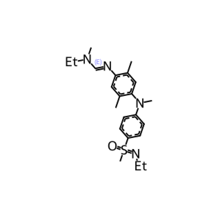 CCN=S(C)(=O)c1ccc(N(C)c2cc(C)c(/N=C/N(C)CC)cc2C)cc1